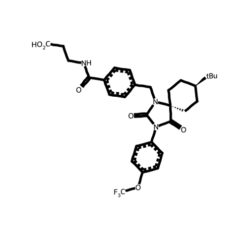 CC(C)(C)[C@H]1CC[C@]2(CC1)C(=O)N(c1ccc(OC(F)(F)F)cc1)C(=O)N2Cc1ccc(C(=O)NCCC(=O)O)cc1